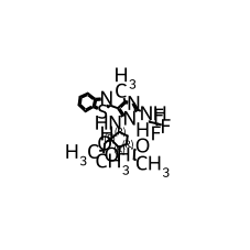 CCC(O)[C@H]1C[C@@H](Nc2nc(NCC(F)(F)F)nc(C)c2-c2nc3ccccc3s2)[C@@H]2OC(C)(C)O[C@@H]21